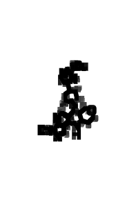 CCn1ncc2c(NC3CCOCC3)c(CN3CCC(c4nnn(C(C)(C)C)n4)CC3)cnc21